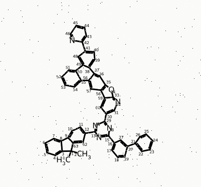 CC1(C)c2ccccc2-c2ccc(-c3nc(-c4cccc(-c5ccccc5)c4)nc(-c4cnc5oc6cc7c8ccc(-c9ccccn9)cc8c8ccccc8c7cc6c5c4)n3)cc21